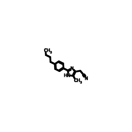 CCCCc1ccc(-c2nc(CC#N)c(C)[nH]2)cc1